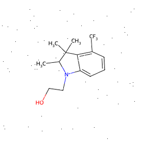 CC1N(CCO)c2cccc(C(F)(F)F)c2C1(C)C